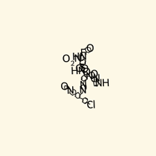 O=C(NS(=O)(=O)c1ccc(NCC2(F)CCOCC2)c([N+](=O)[O-])c1)c1ccc(N2CCN(CC3=C(c4ccc(Cl)cc4)CCC4(CCN(C5COC5)CC4)C3)CC2)cc1N1CCOc2nc3[nH]ccc3cc21